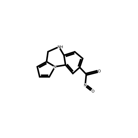 O=NC(=O)c1ccc2c(c1)-n1cccc1CN2